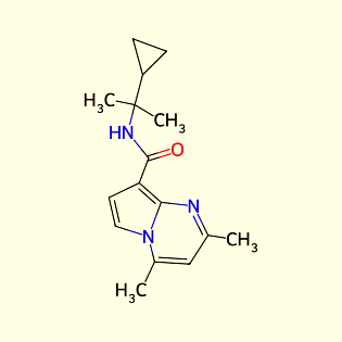 Cc1cc(C)n2ccc(C(=O)NC(C)(C)C3CC3)c2n1